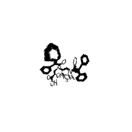 CC[C@@H](CNC(=O)C(c1ccccc1)c1ccccc1)N(C[C@H](C)C(=O)O)C(=O)C(c1ccccc1)c1ccccc1